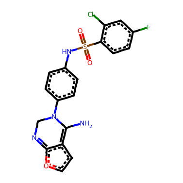 NC1=c2ccoc2=NCN1c1ccc(NS(=O)(=O)c2ccc(F)cc2Cl)cc1